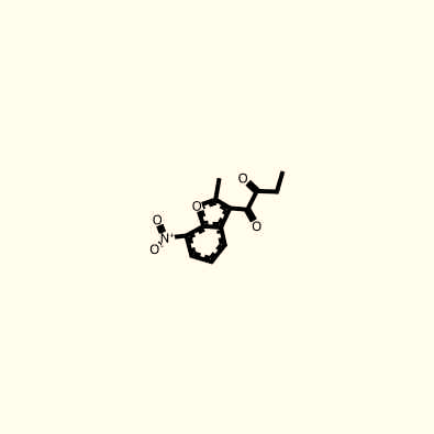 CCC(=O)C(=O)c1c(C)oc2c([N+](=O)[O-])cccc12